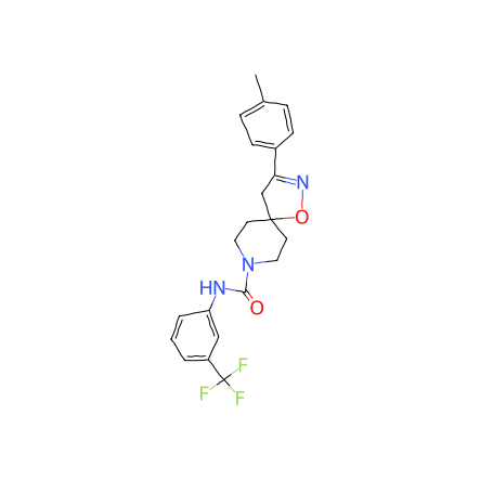 Cc1ccc(C2=NOC3(CCN(C(=O)Nc4cccc(C(F)(F)F)c4)CC3)C2)cc1